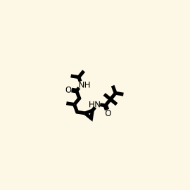 CC(CC(=O)NC(C)C)CC1CC1NC(=O)C(C)(C)C(C)C